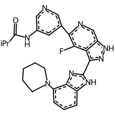 CC(C)C(=O)Nc1cncc(-c2ncc3[nH]nc(-c4nc5c(N6CCCCC6)cccc5[nH]4)c3c2F)c1